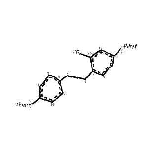 CCCCCc1ccc(CCc2ccc(CCCCC)cc2F)cc1